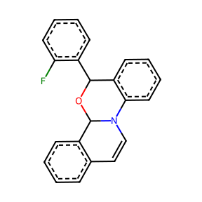 Fc1ccccc1C1OC2c3ccccc3C=CN2c2ccccc21